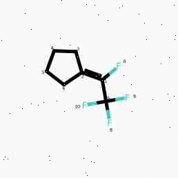 FC(=C1CCCC1)C(F)(F)F